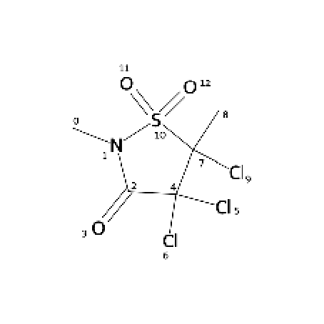 CN1C(=O)C(Cl)(Cl)C(C)(Cl)S1(=O)=O